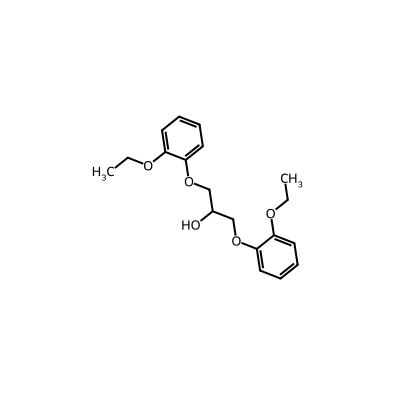 CCOc1ccccc1OCC(O)COc1ccccc1OCC